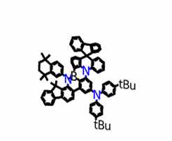 CC(C)(C)c1ccc(N(c2ccc(C(C)(C)C)cc2)c2cc3c4c(c2)N2c5ccccc5C5(c6ccccc6-c6ccccc65)c5cccc(c52)B4N(c2ccc4c(c2)C(C)(C)CCC4(C)C)c2c-3ccc3c2C(C)(C)c2ccccc2-3)cc1